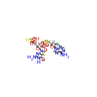 Nc1nc2c(sc(=O)n2[C@@H]2O[C@H](COP(=O)(O)S)C[C@H]2OP(=O)(S)OC[C@@H]2C[C@@H](F)[C@H](n3cnc4c(N)ncnc43)O2)c(=O)[nH]1